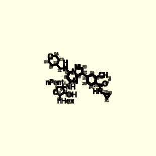 CCCCCCC1OC[C@](CCCCC)(Nc2cc(NCC3CCOCC3)n3ncc(-c4ccc(C(=O)NC5CC5)c(C)c4)c3n2)[C@H]1O